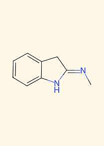 C/N=C1/Cc2ccccc2N1